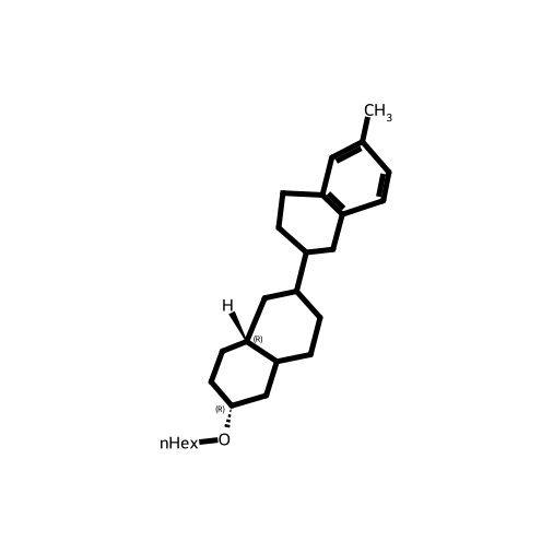 CCCCCCO[C@@H]1CC[C@@H]2CC(C3CCc4cc(C)ccc4C3)CCC2C1